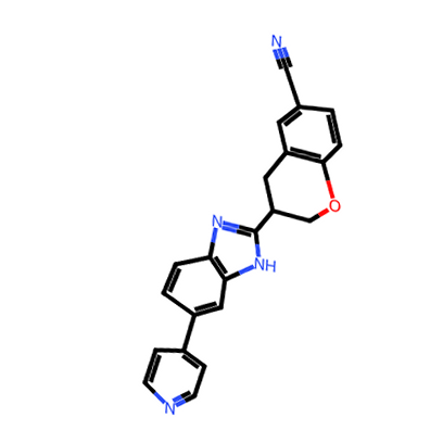 N#Cc1ccc2c(c1)CC(c1nc3ccc(-c4ccncc4)cc3[nH]1)CO2